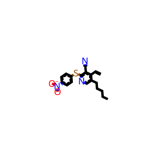 C=Cc1c(CCCCC)cnc(Sc2ccc([N+](=O)[O-])cc2)c1C#N